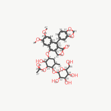 COc1cc2c(OC3CC(C)C(OC4OC(CO)C(O)C(O)C4O)C(OC(C)=O)C3O)c3c(c(-c4ccc5c(c4)OCO5)c2cc1OC)C(=O)OC3